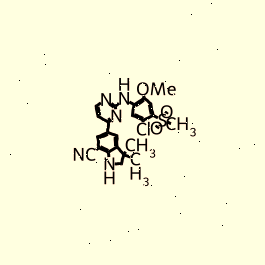 COc1cc(S(C)(=O)=O)c(Cl)cc1Nc1nccc(-c2cc(C#N)c3c(c2)C(C)(C)CN3)n1